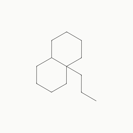 CCCC12CCCCC1CCCC2